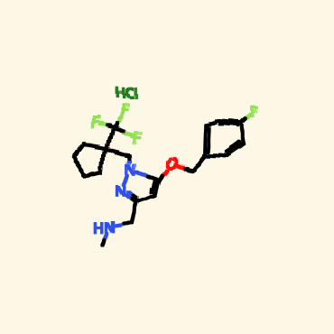 CNCc1cc(OCc2ccc(F)cc2)n(CC2(C(F)(F)F)CCCC2)n1.Cl